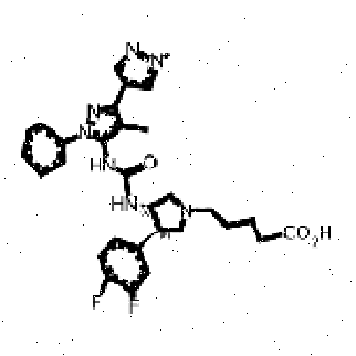 Cc1c(-c2cnn(C)c2)nn(-c2ccccc2)c1NC(=O)N[C@@H]1CN(CCCCC(=O)O)C[C@H]1c1ccc(F)c(F)c1